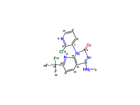 CNc1nc(=O)n(-c2cccnc2Cl)c2nc(C(F)(F)F)ccc12